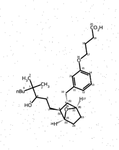 CCCCC(C)(C)C(O)CC[C@H]1[C@H](Cc2cccc(OCCCC(=O)O)c2)[C@H]2CC[C@@H]1O2